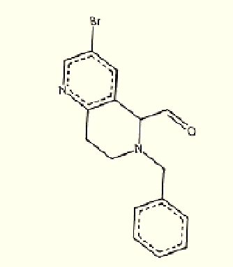 O=CC1c2cc(Br)cnc2CCN1Cc1ccccc1